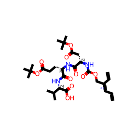 C=C/C=C(\C=C)COC(=O)N[C@@H](CC(=O)OC(C)(C)C)C(=O)N[C@@H](CCC(=O)OC(C)(C)C)C(=O)N[C@H](C(=O)O)C(C)C